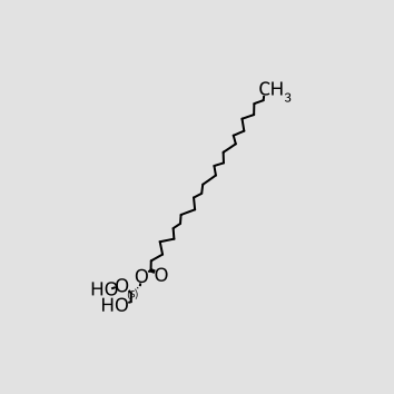 CCCCCCCCCCCCCCCCCCCCCCCC(=O)OC[C@H](CO)OO